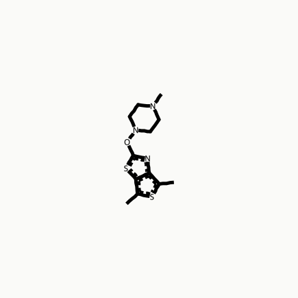 Cc1sc(C)c2sc(ON3CCN(C)CC3)nc12